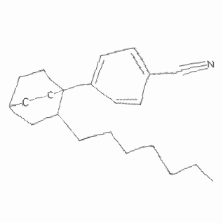 CCCCCCCC1CC2CCC1(c1ccc(C#N)cc1)CC2